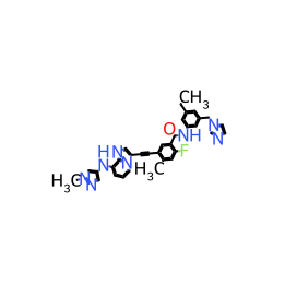 CCc1cc(Cn2ccnc2)cc(NC(=O)c2cc(C#Cc3cnc4c(Nc5cnn(C)c5)cccn34)c(C)cc2F)c1